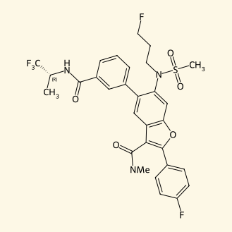 CNC(=O)c1c(-c2ccc(F)cc2)oc2cc(N(CCCF)S(C)(=O)=O)c(-c3cccc(C(=O)N[C@H](C)C(F)(F)F)c3)cc12